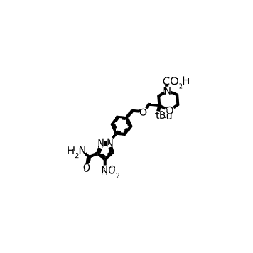 CC(C)(C)C1(COCc2ccc(-n3cc([N+](=O)[O-])c(C(N)=O)n3)cc2)CN(C(=O)O)CCO1